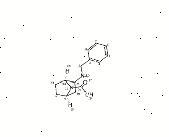 CN(Cc1ccccc1)C1C[C@H]2CC[C@@H]1N2C(=O)O